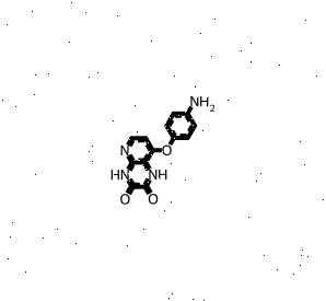 Nc1ccc(Oc2ccnc3[nH]c(=O)c(=O)[nH]c23)cc1